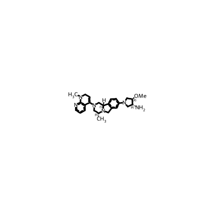 CO[C@@H]1CN(c2ccc3c(c2)CN2[C@H](C)CN(C4=CCN(C)c5ncccc54)C[C@H]32)C[C@H]1N